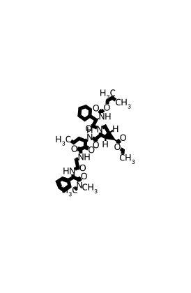 CCCC(NC(=O)C1[C@@H]2[C@H](CN1C(=O)[C@@H](NC(=O)OCC(C)C)C1CCCCC1)[C@H]2C(=O)OCC)C(=O)C(=O)NCC(=O)NC(C(=O)N(C)C)c1ccccc1